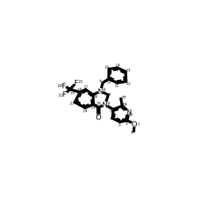 COc1ccc(N2CN(Cc3ccccc3)c3cc(C(F)(F)F)ccc3C2=O)c(C)n1